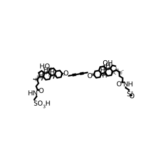 C[C@H](CCC(=O)NCC[S+]=O)[C@H]1CC[C@H]2[C@@H]3[C@@H](O)CC4C[C@H](OCC#CC#CCO[C@@H]5CC[C@@]6(C)C(C5)C[C@H](O)[C@H]5[C@@H]7CC[C@H]([C@H](C)CCC(=O)NCCS(=O)(=O)O)[C@@]7(C)CC[C@@H]56)CC[C@]4(C)[C@H]3CC[C@]12C